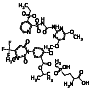 CC(C)OC(=O)c1cc(-n2c(=O)cc(C(F)(F)F)n(C)c2=O)ccc1Cl.CCS(=O)(=O)c1cccnc1S(=O)(=O)NC(=O)Nc1nc(OC)cc(OC)n1.CP(=O)(O)CCC(N)C(=O)O